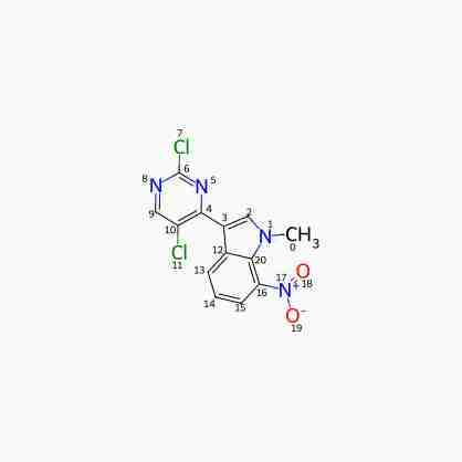 Cn1cc(-c2nc(Cl)ncc2Cl)c2cccc([N+](=O)[O-])c21